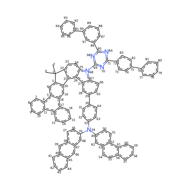 CC1(C)c2cc3c4ccccc4c4ccccc4c3cc2-c2c1ccc1c2c2cc(-c3ccc(N(c4ccc5cc6ccccc6cc5c4)c4ccc5c(ccc6ccccc65)c4)cc3)ccc2n1-c1nc(-c2ccc(-c3ccccc3)cc2)nc(-c2cccc(-c3ccccc3)c2)n1